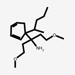 CCCC(C)C1(C(N)(CCOC)CCOC)C=CC=[C]C1